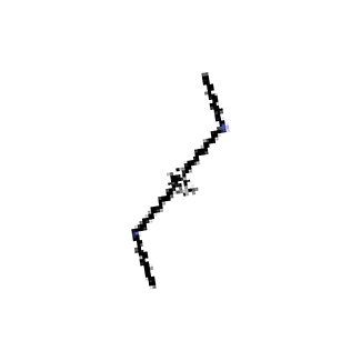 CCCCCCCC/C=C\CCCCCCCCOP(=O)(CN(C)C)OCCCCCCCC/C=C\CCCCCCCC